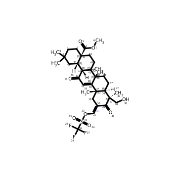 COC(=O)[C@]12CCC(C)(C)C[C@H]1[C@H]1C(=O)C=C3[C@@]4(C)C/C(=C\OS(=O)(=O)C(F)(F)F)C(=O)[C@](C)(CO)[C@@H]4CC[C@@]3(C)[C@]1(C)CC2